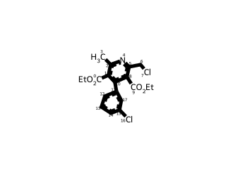 CCOC(=O)c1c(C)nc(CCl)c(C(=O)OCC)c1-c1cccc(Cl)c1